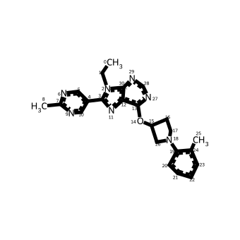 CCn1c(-c2cnc(C)nc2)nc2c(OC3CCN(c4ccccc4C)C3)ncnc21